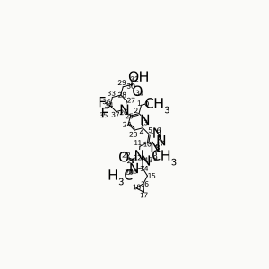 CCc1nc(-c2nnn(C)c2Cn2nc(CC3CC3)n(C)c2=O)ccc1N1CC(CC(=O)O)CC(F)(F)C1